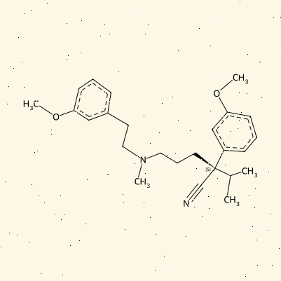 COc1cccc(CCN(C)CCC[C@@](C#N)(c2cccc(OC)c2)C(C)C)c1